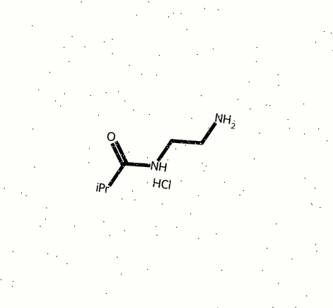 CC(C)C(=O)NCCN.Cl